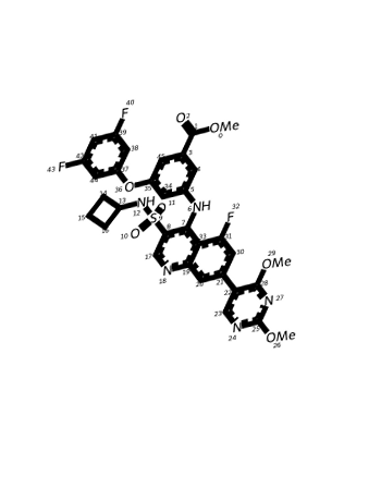 COC(=O)c1cc(Nc2c(S(=O)(=O)NC3CCC3)cnc3cc(-c4cnc(OC)nc4OC)cc(F)c23)cc(Oc2cc(F)cc(F)c2)c1